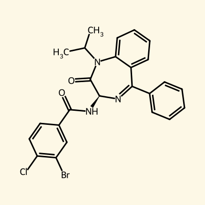 CC(C)N1C(=O)[C@H](NC(=O)c2ccc(Cl)c(Br)c2)N=C(c2ccccc2)c2ccccc21